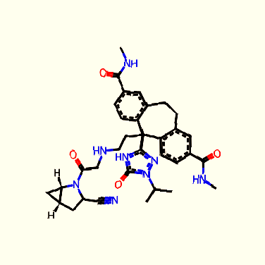 CNC(=O)c1ccc2c(c1)CCc1cc(C(=O)NC)ccc1C2(CCNCC(=O)N1C(C#N)C[C@@H]2C[C@@H]21)c1nn(C(C)C)c(=O)[nH]1